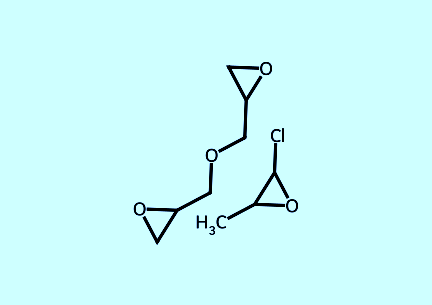 C(OCC1CO1)C1CO1.CC1OC1Cl